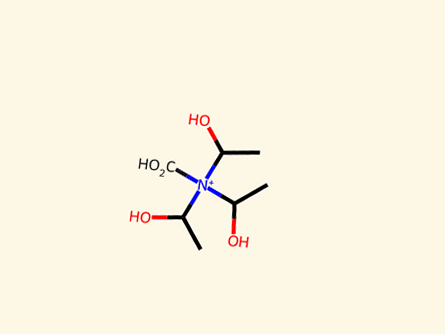 CC(O)[N+](C(=O)O)(C(C)O)C(C)O